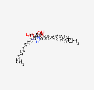 CCCCCCCCCCCCC/C=C/C(O)[C@H](CO)NC(=O)CCCCCCCCCCCCCCC